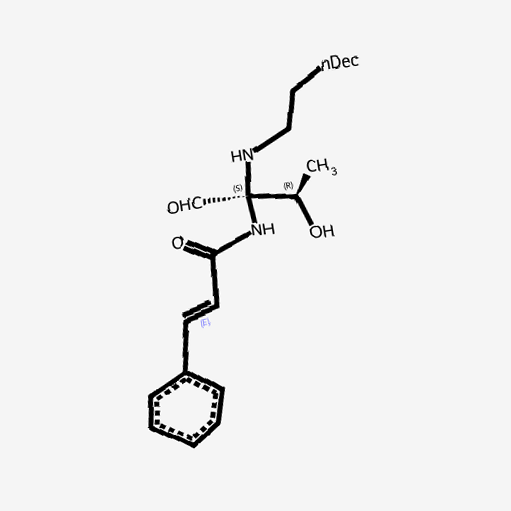 CCCCCCCCCCCCN[C@](C=O)(NC(=O)/C=C/c1ccccc1)[C@@H](C)O